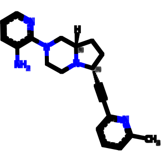 Cc1cccc(C#C[C@H]2CC[C@H]3CN(c4ncccc4N)CCN32)n1